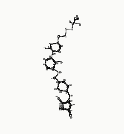 Cc1cc(OCCCC(C)(C)O)ccc1-c1cccc(COc2ccc(Cn3oc(=O)[nH]c3=O)cc2)c1C